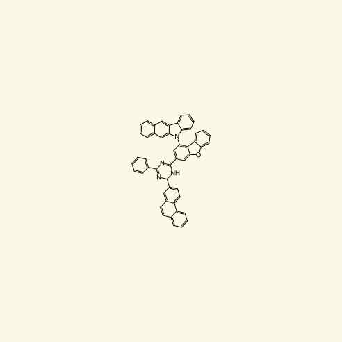 c1ccc(C2=NC(c3ccc4c(ccc5ccccc54)c3)NC(c3cc(-n4c5ccccc5c5cc6ccccc6cc54)c4c(c3)oc3ccccc34)=N2)cc1